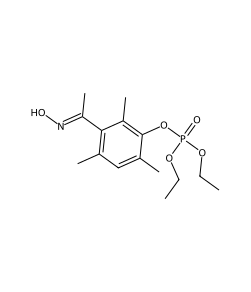 CCOP(=O)(OCC)Oc1c(C)cc(C)c(C(C)=NO)c1C